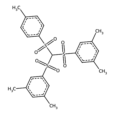 Cc1ccc(S(=O)(=O)C(S(=O)(=O)c2cc(C)cc(C)c2)S(=O)(=O)c2cc(C)cc(C)c2)cc1